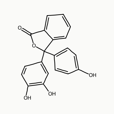 O=C1OC(c2ccc(O)cc2)(c2ccc(O)c(O)c2)c2ccccc21